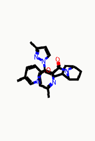 Cc1ccc(OCC2CC3CCC2N3C(=O)c2nc(C)ccc2-n2ccc(C)n2)nc1